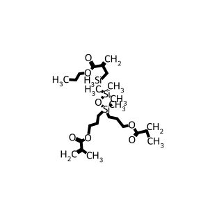 C=C(C)C(=O)OCCC[Si](C)(CCCOC(=O)C(=C)C)O[Si](C)(C)C.C=C(C[SiH3])C(=O)OCCC